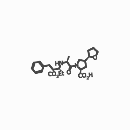 CCOC(=O)[C@H](CCc1ccccc1)N[C@@H](C)C(=O)N1CC([C@H]2CCCO2)C[C@H]1C(=O)O